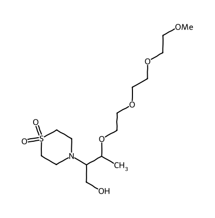 COCCOCCOCCOC(C)C(CO)N1CCS(=O)(=O)CC1